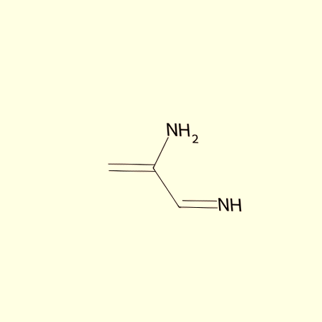 C=C(N)C=N